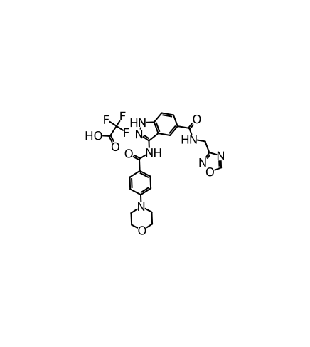 O=C(NCc1ncon1)c1ccc2[nH]nc(NC(=O)c3ccc(N4CCOCC4)cc3)c2c1.O=C(O)C(F)(F)F